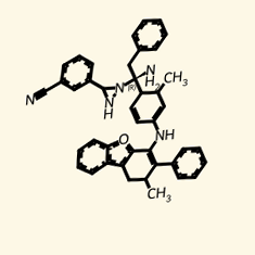 CC1Cc2c(oc3ccccc23)C(NC2=CC(C)C([C@@](N)(Cc3ccccc3)N3NC3c3cccc(C#N)c3)C=C2)=C1c1ccccc1